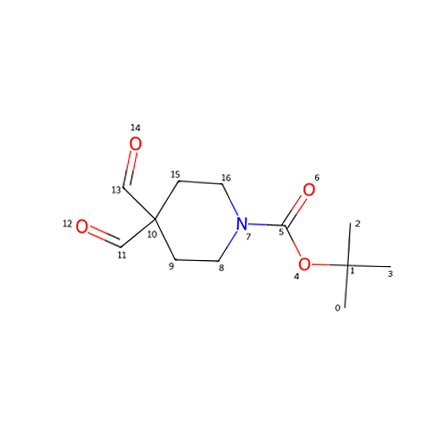 CC(C)(C)OC(=O)N1CCC(C=O)(C=O)CC1